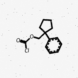 O=C(Cl)OCC1(c2ccccc2)CCCC1